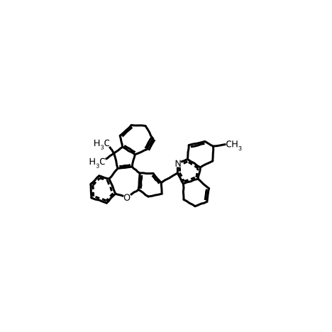 CC1C=Cc2nc(C3=CC4=C(CC3)Oc3ccccc3C3=C4C4=C(C=CCC#C4)C3(C)C)c3c(c2C1)C=CCC3